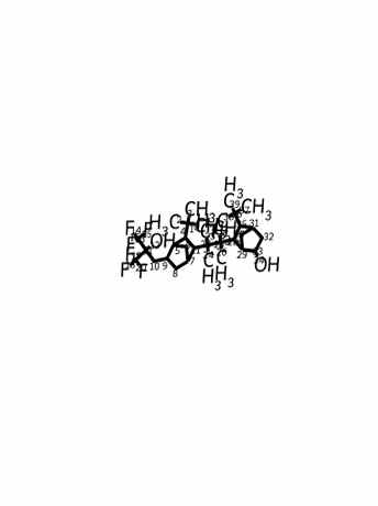 CC(C)(C)C1C2CC(CC2CC(O)(C(F)(F)F)C(F)(F)F)C1C(C)(C)C(C)(C)C1C2CC(CC2O)C1C(C)(C)C